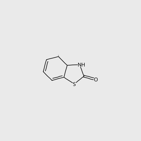 O=C1NC2[CH]C=CC=C2S1